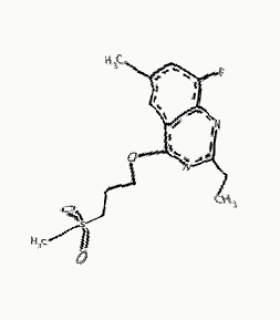 CCc1nc(OCCCS(C)(=O)=O)c2cc(C)cc(F)c2n1